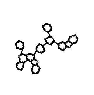 c1ccc(-c2nc(-c3ccc(-c4cc5c(-c6ccccc6)nc6ccccc6c5c5c4sc4ccccc45)cc3)cc(-c3ccc4sc5ccccc5c4c3)n2)cc1